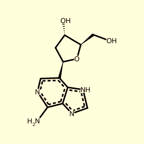 Nc1ncc([C@H]2C[C@H](O)[C@@H](CO)O2)c2[nH]cnc12